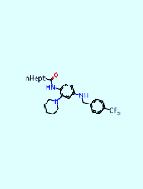 CCCCCCCC(=O)Nc1ccc(NCc2ccc(C(F)(F)F)cc2)cc1N1CCCCC1